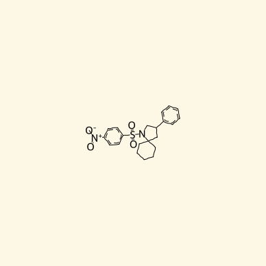 O=[N+]([O-])c1ccc(S(=O)(=O)N2CC(c3ccccc3)CC23CCCCC3)cc1